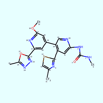 CCNC(=O)Nc1cc(-c2nc(C(F)(F)F)cs2)c(-c2cc(OCC)nc(-c3nnc(C)o3)c2)cn1